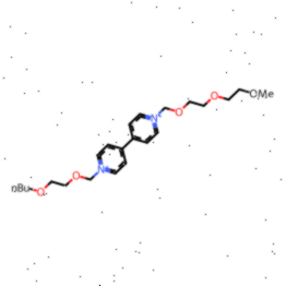 CCCCOCCOC[n+]1ccc(-c2cc[n+](COCCOCCOC)cc2)cc1